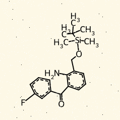 CC(C)(C)[Si](C)(C)OCc1cccc(C(=O)c2cccc(F)c2)c1N